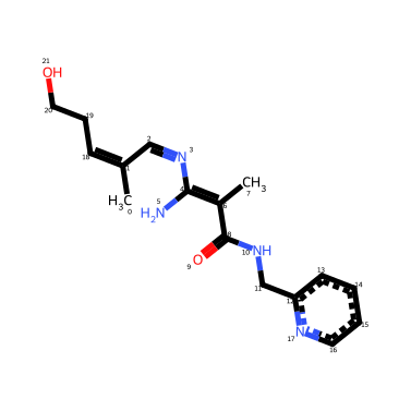 CC(/C=N\C(N)=C(/C)C(=O)NCc1ccccn1)=C/CCO